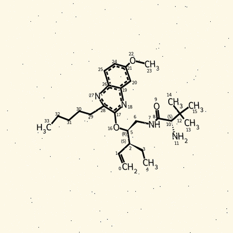 C=C[C@H](CC)[C@H](CNC(=O)[C@@H](N)C(C)(C)C)Oc1nc2cc(OC)ccc2nc1CCCCC